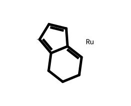 [C]1=C2CCCC=C2C=C1.[Ru]